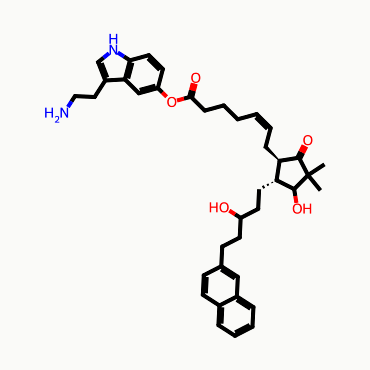 CC1(C)C(=O)[C@H](C/C=C\CCCC(=O)Oc2ccc3[nH]cc(CCN)c3c2)[C@@H](CCC(O)CCc2ccc3ccccc3c2)C1O